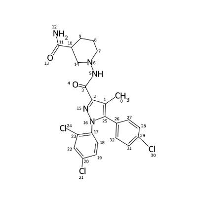 Cc1c(C(=O)NN2CCCC(C(N)=O)C2)nn(-c2ccc(Cl)cc2Cl)c1-c1ccc(Cl)cc1